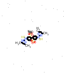 Cc1cc(C)nc(N(S)c2ccc(-c3ccc(N(S)c4nc(C)cc(C)n4)cc3S(=O)(=O)[O-])c(S(=O)(=O)[O-])c2)n1.[Na+].[Na+]